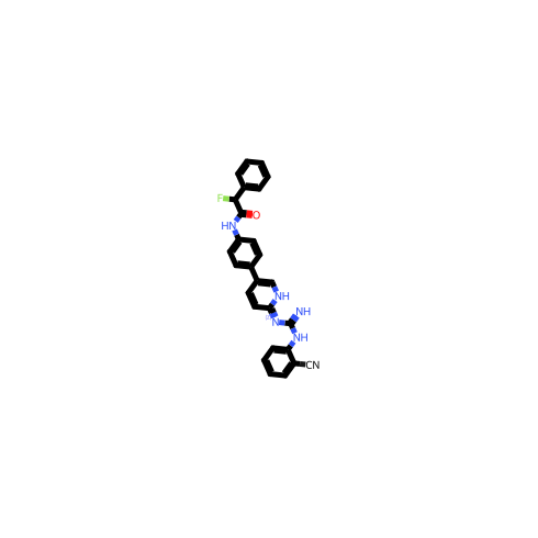 N#Cc1ccccc1NC(=N)/N=c1/ccc(-c2ccc(NC(=O)C(F)c3ccccc3)cc2)c[nH]1